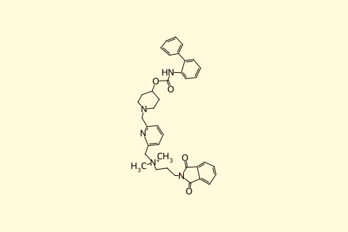 C[N+](C)(CCCN1C(=O)c2ccccc2C1=O)Cc1cccc(CN2CCC(OC(=O)Nc3ccccc3-c3ccccc3)CC2)n1